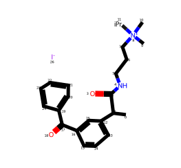 CC(C(=O)NCCC[N+](C)(C)C(C)C)c1cccc(C(=O)c2ccccc2)c1.[I-]